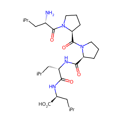 CC(C)C[C@H](NC(=O)[C@H](CC(C)C)NC(=O)[C@@H]1CCCN1C(=O)[C@@H]1CCCN1C(=O)[C@@H](N)CC(C)C)C(=O)O